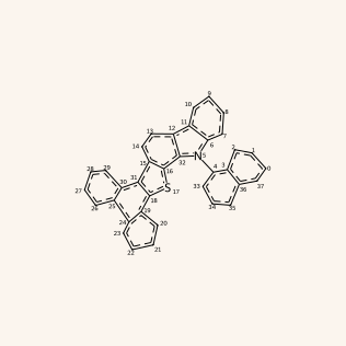 c1ccc2c(-n3c4ccccc4c4ccc5c(sc6c7ccccc7c7ccccc7c56)c43)cccc2c1